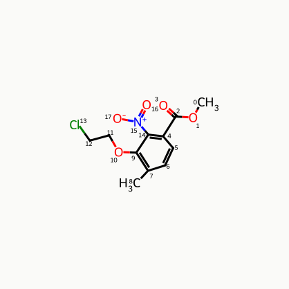 COC(=O)c1ccc(C)c(OCCCl)c1[N+](=O)[O-]